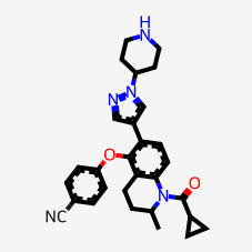 CC1CCc2c(ccc(-c3cnn(C4CCNCC4)c3)c2Oc2ccc(C#N)cc2)N1C(=O)C1CC1